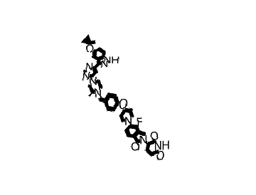 C[C@H]1CN(c2cc(-c3n[nH]c4ccc(OC5(C)CC5)cc34)ncn2)CCN1CC1CCC(OC2CCN(c3ccc4c(c3F)CN(C3CCC(=O)NC3=O)C4=O)CC2)CC1